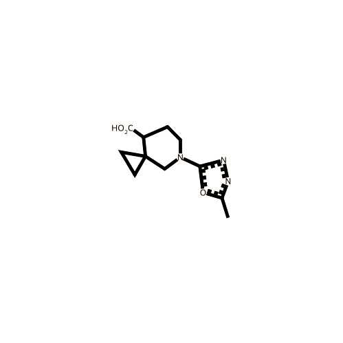 Cc1nnc(N2CCC(C(=O)O)C3(CC3)C2)o1